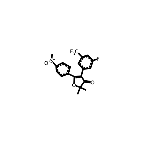 C[S+]([O-])c1ccc(C2=C(c3cc(F)cc(C(F)(F)F)c3)C(=O)C(C)(C)O2)cc1